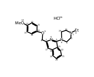 CCN1CCN(c2nc(COc3ccc(OC)cc3)cc3ccccc23)CC1.Cl